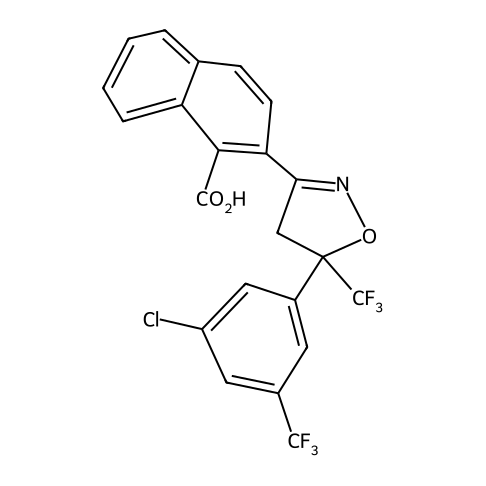 O=C(O)c1c(C2=NOC(c3cc(Cl)cc(C(F)(F)F)c3)(C(F)(F)F)C2)ccc2ccccc12